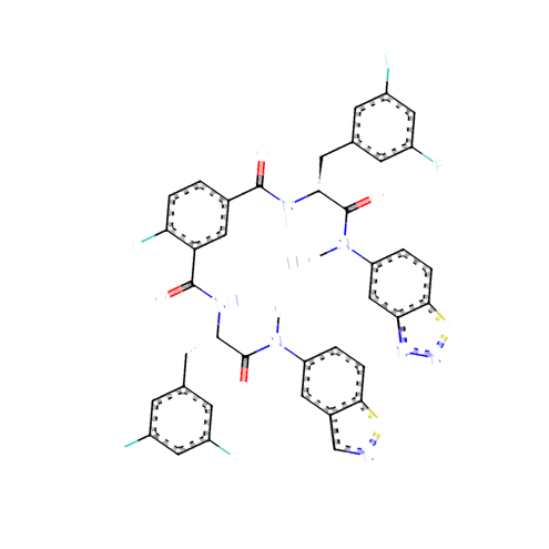 CN(C(=O)[C@H](Cc1cc(F)cc(F)c1)NC(=O)c1ccc(F)c(C(=O)N[C@@H](Cc2cc(F)cc(F)c2)C(=O)N(C)c2ccc3sncc3c2)c1)c1ccc2snnc2c1